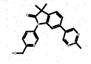 Cc1ncc(-c2ccc3c(c2)N(c2ccc(CO)nc2)C(=O)C3(C)C)cn1